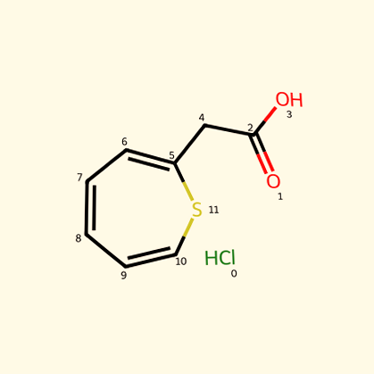 Cl.O=C(O)CC1=CC=CC=CS1